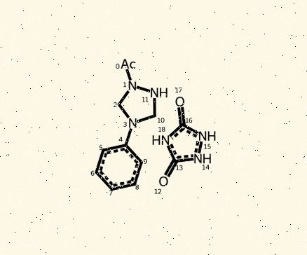 CC(=O)N1CN(c2ccccc2)CN1.O=c1[nH][nH]c(=O)[nH]1